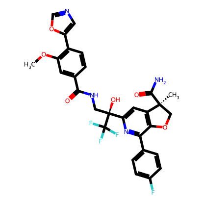 COc1cc(C(=O)NC[C@](O)(c2cc3c(c(-c4ccc(F)cc4)n2)OC[C@]3(C)C(N)=O)C(F)(F)F)ccc1-c1cnco1